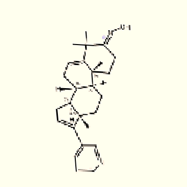 CC1(C)C2=CC[C@@H]3[C@H](CC[C@]4(C)C(c5cccnc5)=CC[C@@H]34)[C@@]2(C)CC/C1=N\O